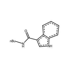 CCCCNC(=O)c1c[nH]c2ccccc12